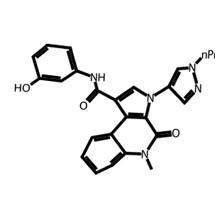 CCCn1cc(-n2cc(C(=O)Nc3cccc(O)c3)c3c4ccccc4n(C)c(=O)c32)cn1